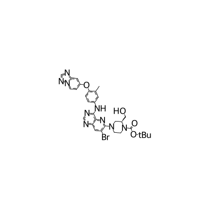 Cc1cc(Nc2ncnc3cc(Br)c(N4CCN(C(=O)OC(C)(C)C)[C@H](CO)C4)nc23)ccc1Oc1ccn2ncnc2c1